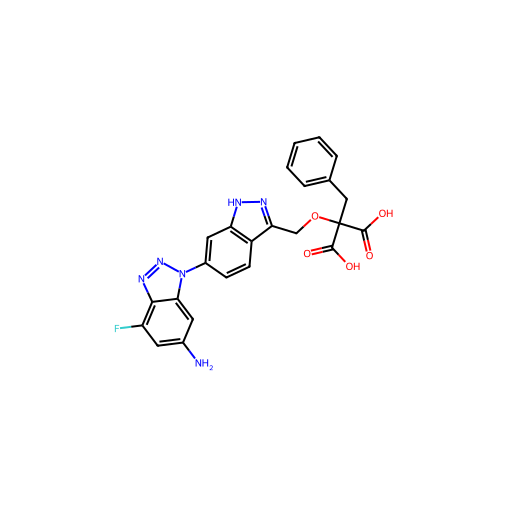 Nc1cc(F)c2nnn(-c3ccc4c(COC(Cc5ccccc5)(C(=O)O)C(=O)O)n[nH]c4c3)c2c1